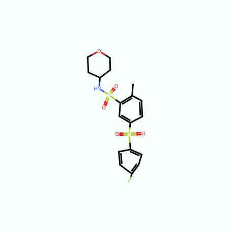 Cc1ccc(S(=O)(=O)c2ccc(F)cc2)cc1S(=O)(=O)NC1CCOCC1